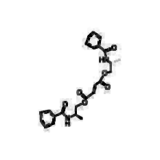 C[C@H](COC(=O)/C=C/C(=O)OC[C@@H](C)NC(=O)c1ccccc1)NC(=O)c1ccccc1